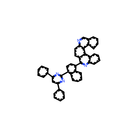 c1ccc(-c2cc(-c3ccccc3)nc(-c3ccc(-c4nc5ccccc5c5c4ccc4ncc6ccccc6c45)c4ccccc34)n2)cc1